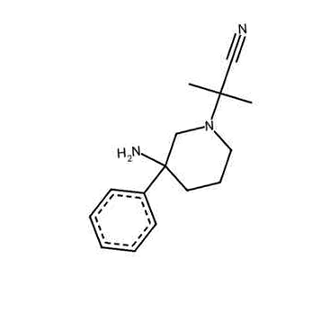 CC(C)(C#N)N1CCCC(N)(c2ccccc2)C1